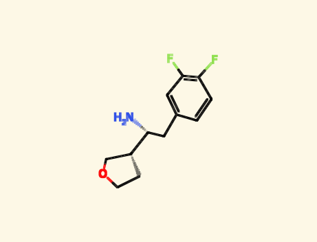 N[C@H](Cc1ccc(F)c(F)c1)[C@@H]1CCOC1